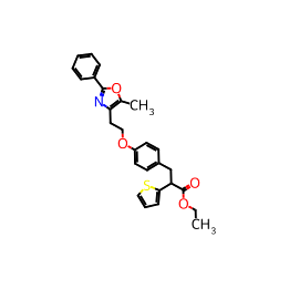 CCOC(=O)C(Cc1ccc(OCCc2nc(-c3ccccc3)oc2C)cc1)c1cccs1